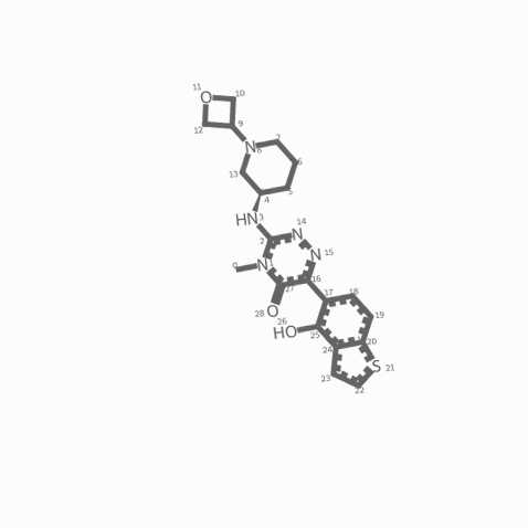 Cn1c(N[C@@H]2CCCN(C3COC3)C2)nnc(-c2ccc3sccc3c2O)c1=O